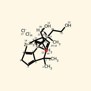 CC1(C)C2=CC[C](=C2[Si](C)(C)CCO)[Zr+2][C]2=C([Si](C)(C)CCO)C1=CC2.[Cl-].[Cl-]